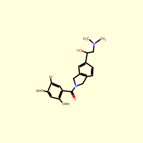 CCc1cc(C(=O)N2Cc3ccc(C(O)CN(C)C)cc3C2)c(OC)cc1OC